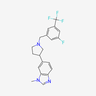 Cn1cnc2ccc(C3CCN(Cc4cc(F)cc(C(F)(F)F)c4)C3)cc21